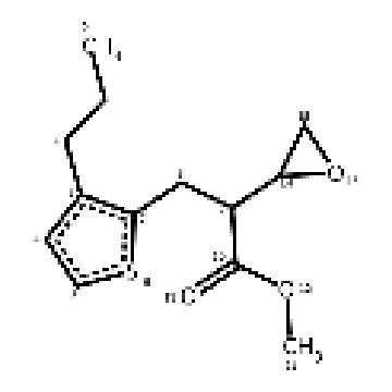 CCCc1ccsc1CC(C(=O)OC)C1CO1